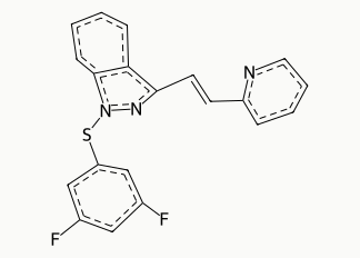 Fc1cc(F)cc(Sn2nc(C=Cc3ccccn3)c3ccccc32)c1